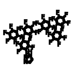 Fc1c(F)c(F)[c]([Al]([c]2c(F)c(F)c(F)c(F)c2F)[c]2c(F)c(F)c(F)c(F)c2F)c(F)c1F.Fc1c(F)c(F)[c]([Al]([c]2c(F)c(F)c(F)c(F)c2F)[c]2c(F)c(F)c(F)c(F)c2F)c(F)c1F.c1c[nH]nn1